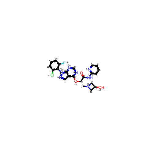 O=C(Nc1ccccn1)[C@H](CN1CC(O)C1)Oc1ncnc2c1cnn2-c1c(F)cccc1Cl